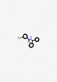 Cc1cccc(C(C#N)NC(c2ccccc2)c2ccccc2)c1